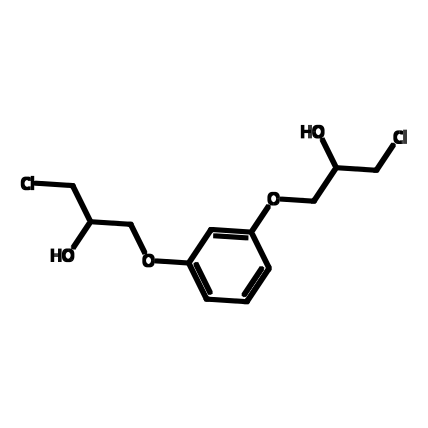 OC(CCl)COc1cccc(OCC(O)CCl)c1